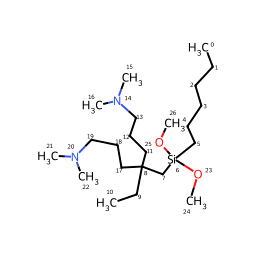 CCCCCC[Si](CC(CC)(CCCN(C)C)CCCN(C)C)(OC)OC